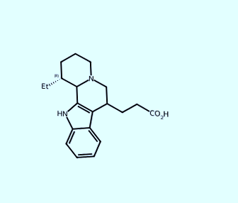 CC[C@@H]1CCCN2CC(CCC(=O)O)c3c([nH]c4ccccc34)C12